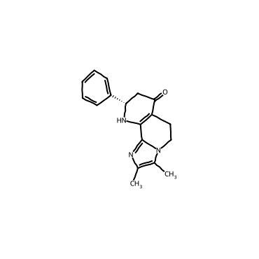 Cc1nc2n(c1C)CCC1=C2N[C@H](c2ccccc2)CC1=O